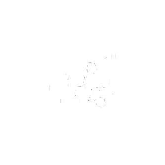 C=CCc1ccc(C(=O)CC(C(=O)OCC)C(=O)OCC)cc1.CC(=O)Nc1c(O)cccc1[As](=O)(O)O